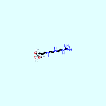 CCO[Si](CCCNCCNCCNC(=N)N)(OCC)OCC